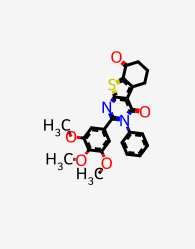 COc1cc(-c2nc3sc4c(c3c(=O)n2-c2ccccc2)CCCC4=O)cc(OC)c1OC